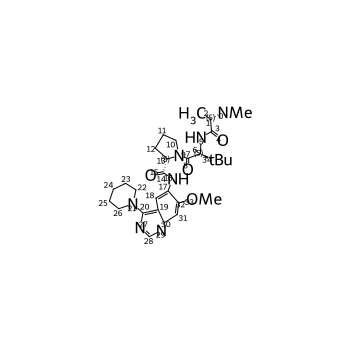 CN[C@@H](C)C(=O)N[C@H](C(=O)N1CCC[C@H]1C(=O)Nc1cc2c(N3CCCCC3)ncnc2cc1OC)C(C)(C)C